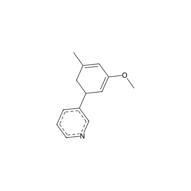 COC1=CC(c2cccnc2)CC(C)=C1